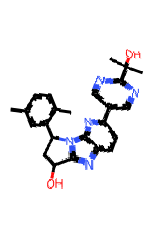 Cc1ccc(C)c(C2CC(O)c3nc4ccc(-c5cnc(C(C)(C)O)nc5)nc4n32)c1